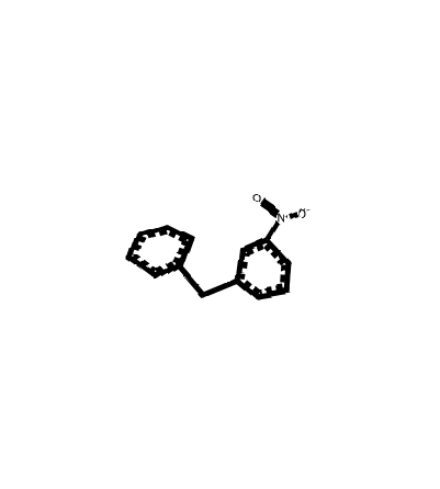 O=[N+]([O-])c1cccc(Cc2cc[c]cc2)c1